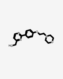 OCc1ccnc(-c2ccc(OCCN3CCOCC3)cc2)n1